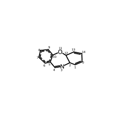 C1=CC2N=Cc3ccccc3OC2C=C1